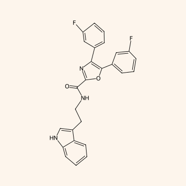 O=C(NCCc1c[nH]c2ccccc12)c1nc(-c2cccc(F)c2)c(-c2cccc(F)c2)o1